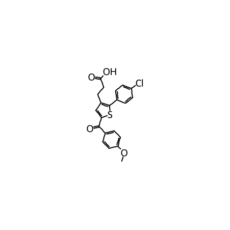 COc1ccc(C(=O)c2cc(CCC(=O)O)c(-c3ccc(Cl)cc3)s2)cc1